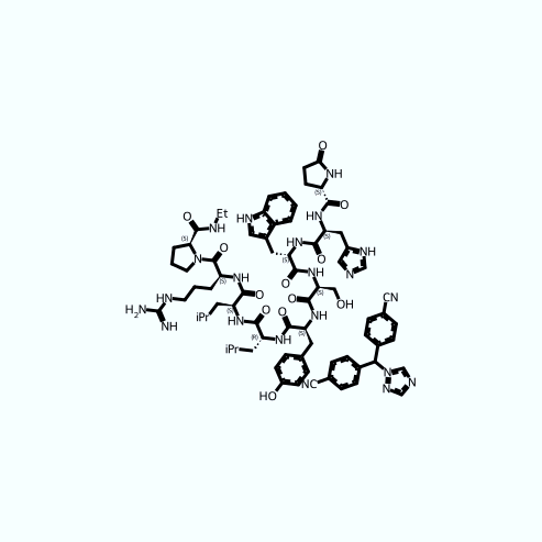 CCNC(=O)[C@@H]1CCCN1C(=O)[C@H](CCCNC(=N)N)NC(=O)[C@H](CC(C)C)NC(=O)[C@@H](CC(C)C)NC(=O)[C@H](Cc1ccc(O)cc1)NC(=O)[C@H](CO)NC(=O)[C@H](Cc1c[nH]c2ccccc12)NC(=O)[C@H](Cc1cnc[nH]1)NC(=O)[C@@H]1CCC(=O)N1.N#Cc1ccc(C(c2ccc(C#N)cc2)n2cncn2)cc1